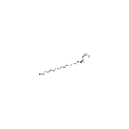 C=C/C=C\CCCCCCCCCCCCCO